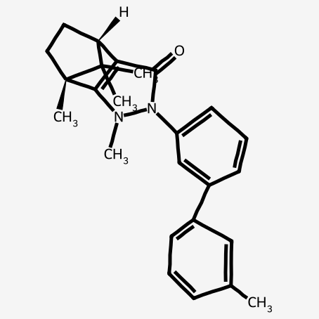 Cc1cccc(-c2cccc(-n3c(=O)c4c(n3C)[C@]3(C)CC[C@H]4C3(C)C)c2)c1